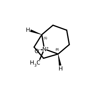 C[N+]1([O-])[C@@H]2CCC[C@H]1CC2